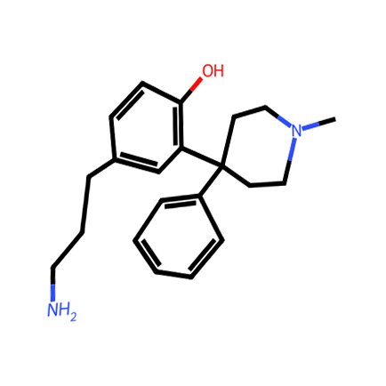 CN1CCC(c2ccccc2)(c2cc(CCCN)ccc2O)CC1